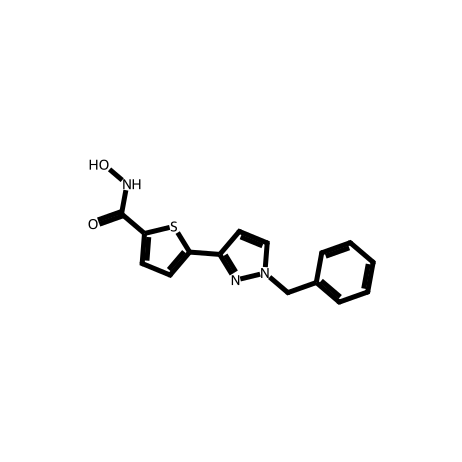 O=C(NO)c1ccc(-c2ccn(Cc3ccccc3)n2)s1